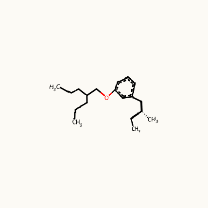 CCCC(CCC)COc1cccc(C[C@H](C)CC)c1